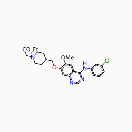 CCOC(=O)CN1CCC(COc2cc3ncnc(Nc4cccc(Cl)c4)c3cc2OC)CC1